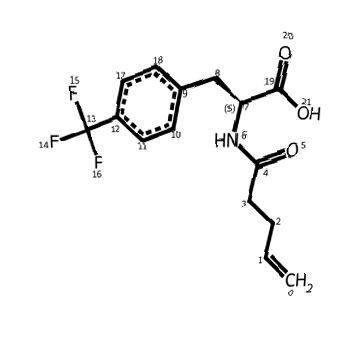 C=CCCC(=O)N[C@@H](Cc1ccc(C(F)(F)F)cc1)C(=O)O